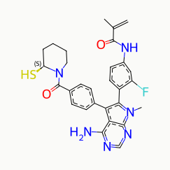 C=C(C)C(=O)Nc1ccc(-c2c(-c3ccc(C(=O)N4CCCC[C@@H]4S)cc3)c3c(N)ncnc3n2C)c(F)c1